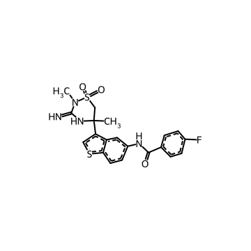 CN1C(=N)NC(C)(c2csc3ccc(NC(=O)c4ccc(F)cc4)cc23)CS1(=O)=O